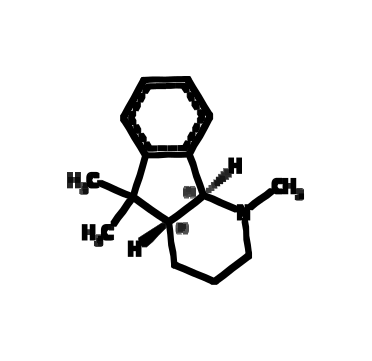 CN1CCC[C@H]2[C@H]1c1ccccc1C2(C)C